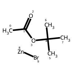 CC(=O)OC(C)(C)C.[Zn][Br]